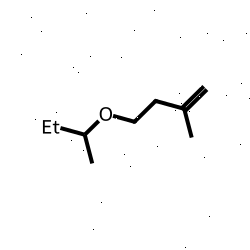 C=C(C)CCOC(C)CC